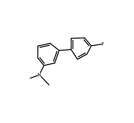 CN(C)c1cc[c]c(-c2ccc(F)cc2)c1